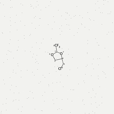 FC(F)(F)C1OCC(CCl)O1